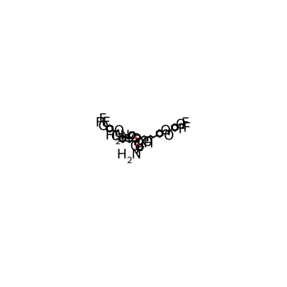 Nc1ccc(CC(CC(=O)C=Cc2ccc(OC(=O)c3ccc(OC(F)(F)F)cc3)cc2)(Cc2ccc(N)cc2)C(O)(O)C(=O)C=Cc2ccc(OC(=O)c3ccc(OC(F)(F)F)cc3)cc2)cc1